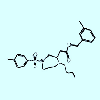 CCCCN1CCN(S(=O)(=O)c2ccc(C)cc2)CC1CC(=O)OCc1cccc(C)c1